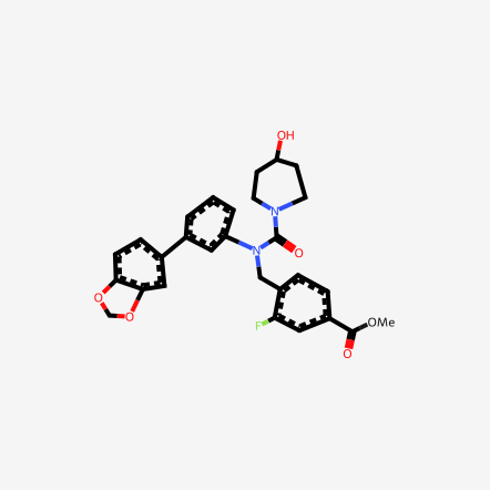 COC(=O)c1ccc(CN(C(=O)N2CCC(O)CC2)c2cccc(-c3ccc4c(c3)OCO4)c2)c(F)c1